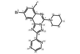 Brc1cc(I)c2nc(N3CCCCC3)n3nc(-c4cnccn4)nc3c2c1